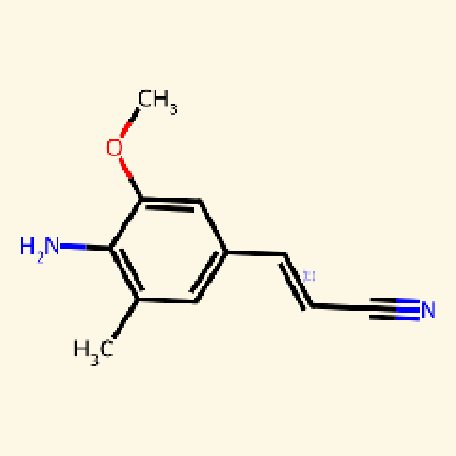 COc1cc(/C=C/C#N)cc(C)c1N